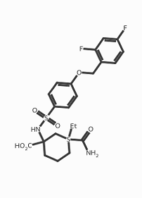 CCS1(C(N)=O)CCCC(NS(=O)(=O)c2ccc(OCc3ccc(F)cc3F)cc2)(C(=O)O)C1